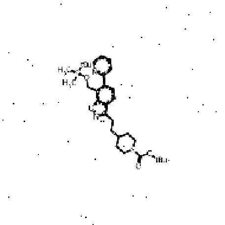 CC(C)(C)OC(=O)N1CCC(CCc2noc3c(CO[Si](C)(C)C(C)(C)C)c(-c4ccccn4)ccc23)CC1